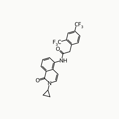 O=C(Cc1ccc(C(F)(F)F)cc1C(F)(F)F)Nc1cccc2c(=O)n(C3CC3)ccc12